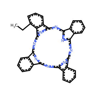 CCc1cccc2c3nc4nc(nc5[nH]c(nc6nc(nc([nH]3)c12)-c1ccccc1-6)c1ccccc51)-c1ccccc1-4